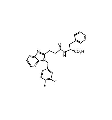 O=C(CCc1nc2cccnc2n1Cc1ccc(F)c(F)c1)NC(Cc1ccccc1)C(=O)O